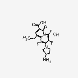 CCc1cc(C(=O)O)c(=O)n2c(F)c(F)c(N3CCC(N)C3)c(F)c12.Cl